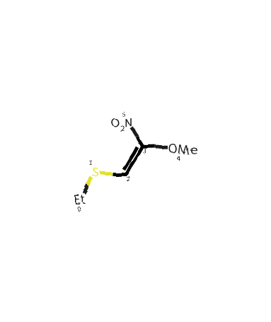 CCSC=C(OC)[N+](=O)[O-]